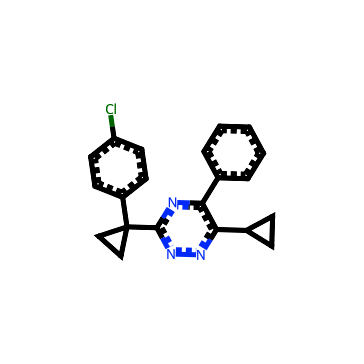 Clc1ccc(C2(c3nnc(C4CC4)c(-c4ccccc4)n3)CC2)cc1